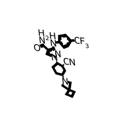 N#C[C@H]1C[C@@H](N2CC3(CCC3)C2)CC[C@@H]1n1cc(C(N)=O)c(Nc2ccc(C(F)(F)F)cc2)n1